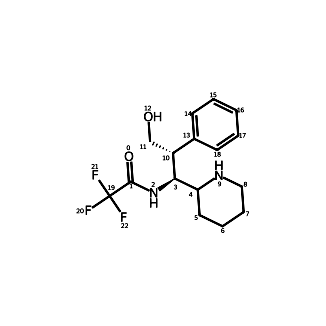 O=C(N[C@H](C1CCCCN1)[C@H](CO)c1ccccc1)C(F)(F)F